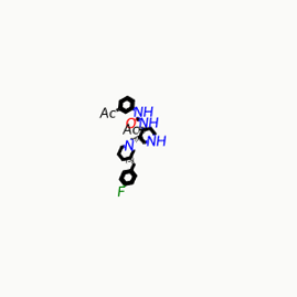 CC(=O)c1cccc(NC(=O)N[C@]2(C(C)=O)CCNC[C@@H]2CN2CCC[C@@H](Cc3ccc(F)cc3)C2)c1